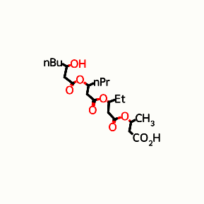 CCCCC(O)CC(=O)OC(CCC)CC(=O)OC(CC)CC(=O)OC(C)CC(=O)O